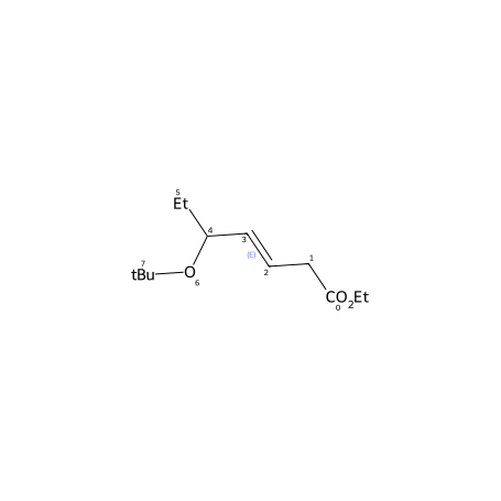 CCOC(=O)C/C=C/C(CC)OC(C)(C)C